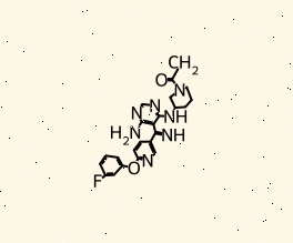 C=CC(=O)N1CCC[C@@H](Nc2ncnc(N)c2C(=N)c2ccc(Oc3cccc(F)c3)nc2)C1